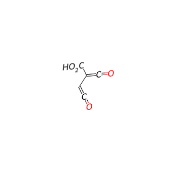 O=C=CC(=C=O)C(=O)O